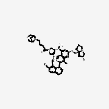 C#Cc1c(F)ccc2cccc(-c3ncc4c(N(C)[C@@H]5CCN(C(=O)/C=C/CN6C7COCC6C7)C5)nc(OC[C@@]56CCCN5C[C@H](F)C6)nc4c3F)c12